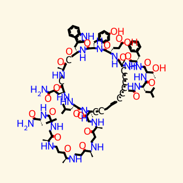 CC(=O)N[C@@H](CC(C)C)C(=O)N[C@H](C(=O)N[C@@H](Cc1ccccc1)C(=O)N[C@]1(C)CCCCCC/C=C/CCC[C@@](C)(C(=O)CN[C@@H](C)C(=O)CCN[C@@H](C)C(=O)CCN[C@@H](C)C(=O)CCN[C@@H](C)C(=O)CNC(C)(C)C(=O)N[C@H](C)C(N)=O)NC(=O)[C@H](CC(C)C)NN[C@@H](CCC(N)=O)C(=O)CN[C@@H](C)C(=O)CC(=O)[C@H](Cc2c[nH]c3ccccc23)NC(=O)[C@H](Cc2ccc(O)cc2)NC(=O)[C@H](CCC(=O)O)NC1=O)[C@@H](C)O